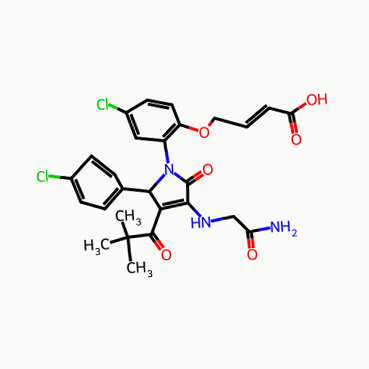 CC(C)(C)C(=O)C1=C(NCC(N)=O)C(=O)N(c2cc(Cl)ccc2OCC=CC(=O)O)C1c1ccc(Cl)cc1